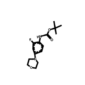 CC(C)(C)OC(=O)Nc1ccc(N2CCOCC2)cc1F